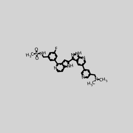 CN(C)Cc1cncc(-c2cnc3[nH]nc(-c4cc5c(-c6cc(F)cc(CNS(C)(=O)=O)c6)nccc5[nH]4)c3c2)c1